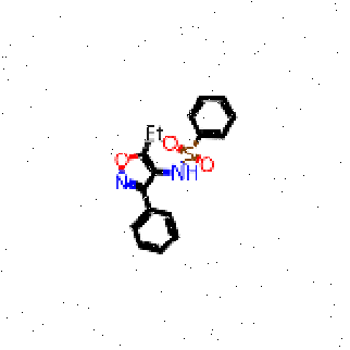 CCc1onc(-c2ccccc2)c1NS(=O)(=O)c1ccccc1